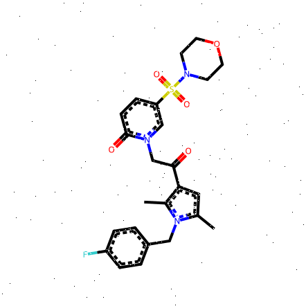 Cc1cc(C(=O)Cn2cc(S(=O)(=O)N3CCOCC3)ccc2=O)c(C)n1Cc1ccc(F)cc1